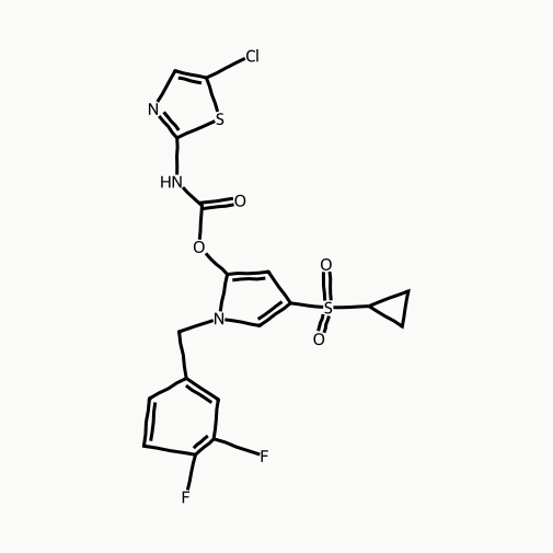 O=C(Nc1ncc(Cl)s1)Oc1cc(S(=O)(=O)C2CC2)cn1Cc1ccc(F)c(F)c1